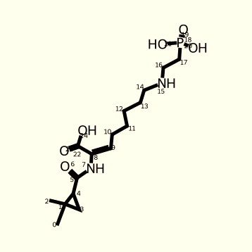 CC1(C)CC1C(=O)N/C(=C/CCCCCNCCP(=O)(O)O)C(=O)O